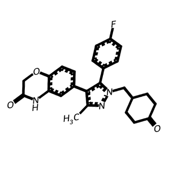 Cc1nn(CC2CCC(=O)CC2)c(-c2ccc(F)cc2)c1-c1ccc2c(c1)NC(=O)CO2